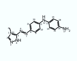 C[n+]1cn[nH]c1N=Nc1ccc(Nc2ccc(N)cc2)cc1